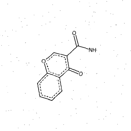 [NH]C(=O)c1coc2ccccc2c1=O